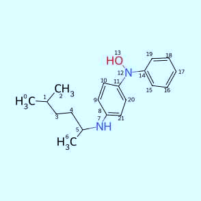 CC(C)CCC(C)Nc1ccc(N(O)c2ccccc2)cc1